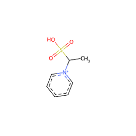 CC([n+]1ccccc1)S(=O)(=O)O